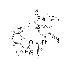 CCN1C(=O)C(CCNc2cccc(N(C)C(C)=O)c2)SC1CC(C#N)C(=O)NCC#N